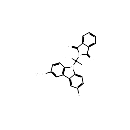 COc1ccc2c(c1)c1cc(Br)ccc1n2C(C)(C(=O)O)N1C(=O)c2ccccc2C1=O